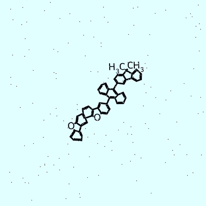 CC1(C)c2ccccc2-c2cc(-c3c4ccccc4c(-c4ccc5oc6c7cc8c(cc7ccc6c5c4)oc4ccccc48)c4ccccc34)ccc21